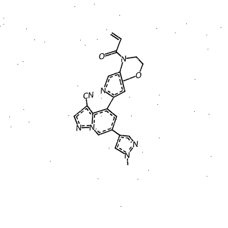 C=CC(=O)N1CCOc2cc(-c3cc(-c4cnn(C)c4)cn4ncc(C#N)c34)ncc21